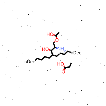 CCC(=O)O.CCCCCCCCCCCCCCC(CCCCCCCCCCCCCC)C(O)C(N)COC(C)O